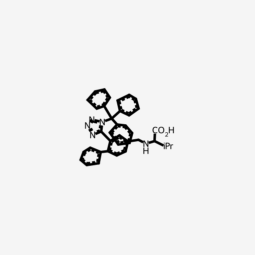 CC(C)C(NCc1ccc(-c2ccccc2)c(-c2nnnn2C(c2ccccc2)(c2ccccc2)c2ccccc2)c1)C(=O)O